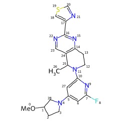 COC1CCN(c2cc(F)nc(N3CCc4nc(-c5cscn5)ncc4C3C)c2)C1